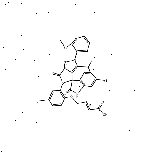 COc1ccccc1-n1nc2c(c1C(C)C)C1(C(=O)Nc3cc(Cl)ccc31)N(c1cc(Cl)ccc1OC/C=C/C(=O)O)C2=O